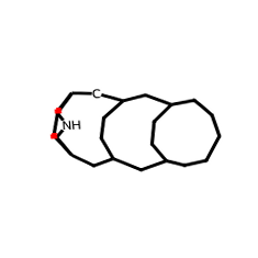 C1CCC2CCC(CC1)CC1CCC(C2)CC2CCC(CNC2)C1